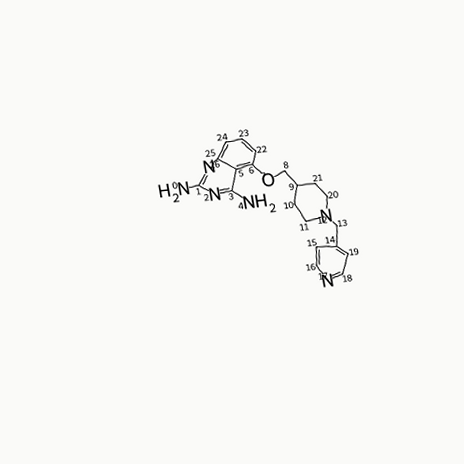 Nc1nc(N)c2c(OCC3CCN(Cc4ccncc4)CC3)cccc2n1